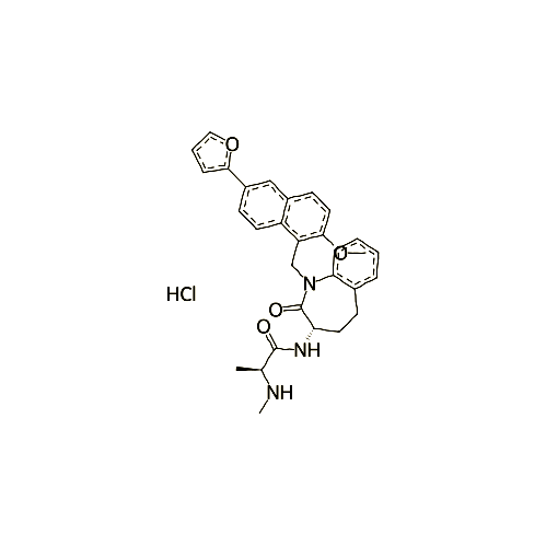 CN[C@@H](C)C(=O)N[C@H]1CCc2ccccc2N(Cc2c(OC)ccc3cc(-c4ccco4)ccc23)C1=O.Cl